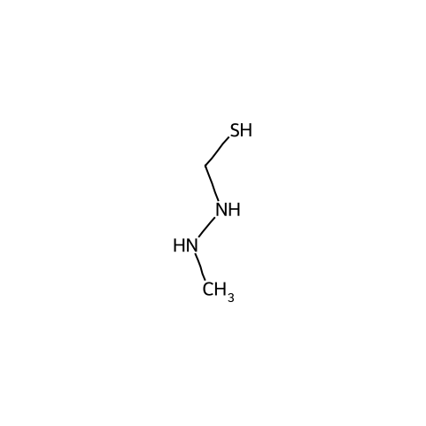 CNNCS